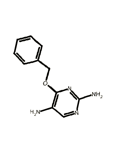 Nc1ncc(N)c(OCc2ccccc2)n1